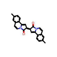 Cc1ccc2c(c1)C=CN1C(=O)/C(=C3\C=C4c5ccc(C)cc5C=CN4C3=O)C=C21